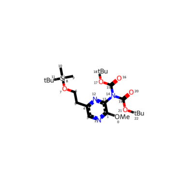 COc1ncc(CCO[Si](C)(C)C(C)(C)C)nc1N(C(=O)OC(C)(C)C)C(=O)OC(C)(C)C